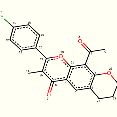 CC(=O)c1c2c(cc3c(=O)c(C)c(-c4ccc(F)cc4)oc13)CCCO2